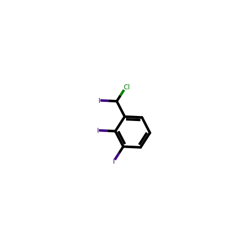 ClC(I)c1cccc(I)c1I